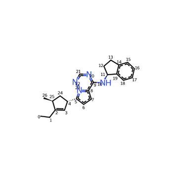 CCC1=C[C@@H](c2ccc3c(N[C@H]4CCc5ccccc54)ncnn23)C[C@@H]1C